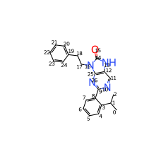 CC(C)c1ccccc1-c1ncc2[nH]c(=O)n(CCc3ccccc3)c2n1